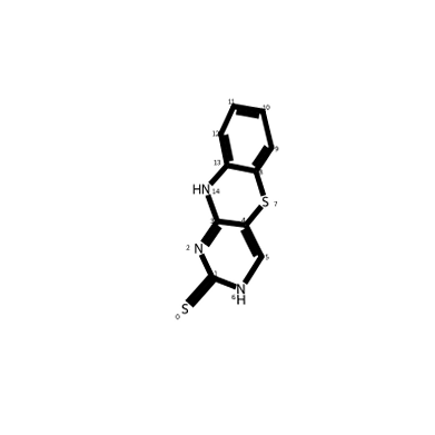 S=c1nc2c(c[nH]1)Sc1ccccc1N2